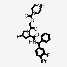 CC(C)c1ccc(C(NC(=O)C2CC(F)CN2C(=O)COC(=O)N2CCNCC2)c2ccccc2)cc1F